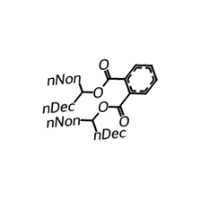 CCCCCCCCCCC(CCCCCCCCC)OC(=O)c1ccccc1C(=O)OC(CCCCCCCCC)CCCCCCCCCC